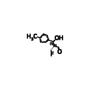 Cc1ccc([C@@H](O)[C@H](C=O)CF)cc1